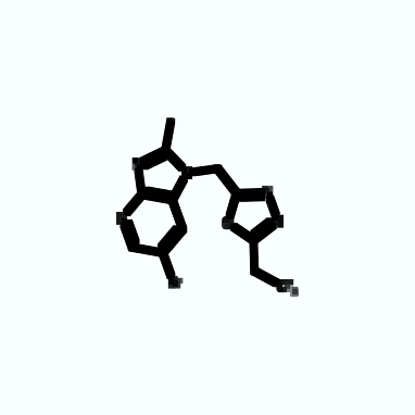 Cc1nc2ncc(Br)cc2n1Cc1nnc(CC(F)(F)F)o1